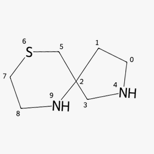 C1CC2(CN1)CSCCN2